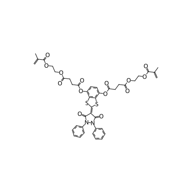 C=C(C)C(=O)OCCOC(=O)CCC(=O)Oc1ccc(OC(=O)CCC(=O)OCCOC(=O)C(=C)C)c2c1SC(=C1C(=O)N(c3ccccc3)N(c3ccccc3)C1=O)S2